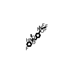 CCOP(=O)(Cc1ccc(-c2nnc(C(F)(F)F)o2)cc1)Nc1ccc(F)cc1